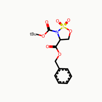 CC(C)(C)OC(=O)N1C(C(=O)OCc2ccccc2)COS1(=O)=O